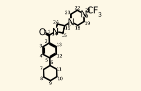 O=C(c1ccc(C2CCCCC2)cc1)N1CC(N2CCN(C(F)(F)F)CC2)C1